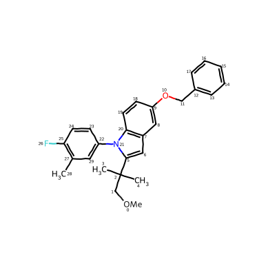 COCC(C)(C)c1cc2cc(OCc3ccccc3)ccc2n1-c1ccc(F)c(C)c1